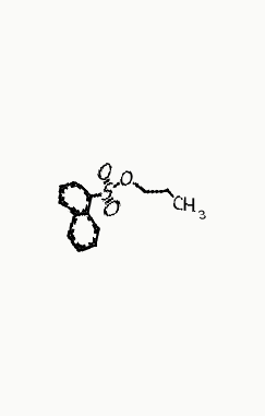 CCCOS(=O)(=O)c1cccc2ccccc12